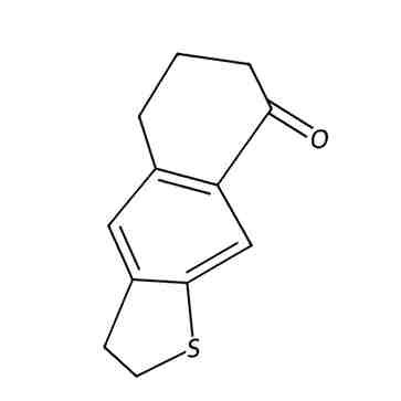 O=C1CCCc2cc3c(cc21)SCC3